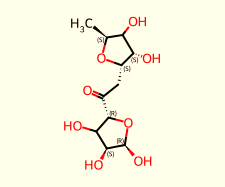 C[C@@H]1O[C@@H](CC(=O)[C@@H]2O[C@@H](O)[C@@H](O)C2O)[C@@H](O)C1O